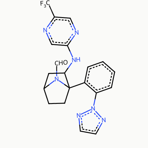 O=CN1C2CCC1(c1ccccc1-n1nccn1)C(Nc1cnc(C(F)(F)F)cn1)C2